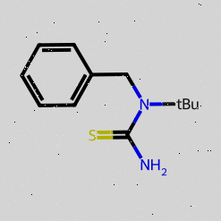 CC(C)(C)N(Cc1ccccc1)C(N)=S